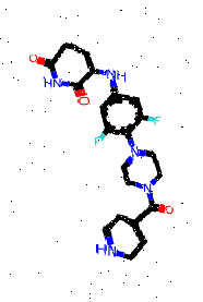 O=C1CCC(Nc2cc(F)c(N3CCN(C(=O)C4CCNCC4)CC3)c(F)c2)C(=O)N1